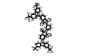 CC(C)(C)c1ccc2c(c1)c1cc(C(C)(C)C)ccc1n2C1=CC2(C)C(=O)N(c3cccc(N4C(=O)c5ccc(-n6c7ccc(C(C)(C)C)cc7c7cc(C(C)(C)C)ccc76)cc5C4=O)c3)C(=O)C2C=C1